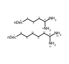 CCCCCCCCCCCCCC(N)N.CCCCCCCCCCCCCCCC(N)N